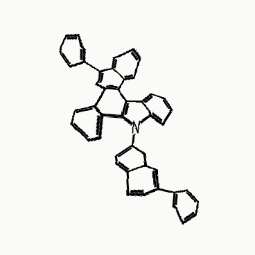 C1=CC2=CC=C(n3c4ccccc4c4c5c6ccccc6c(-c6ccccc6)cc5c5ccccc5c43)CC2C=C1c1ccccc1